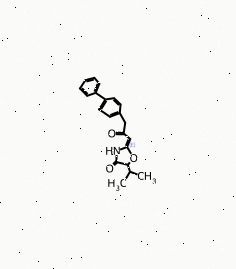 CC(C)C1O/C(=C/C(=O)Cc2ccc(-c3ccccc3)cc2)NC1=O